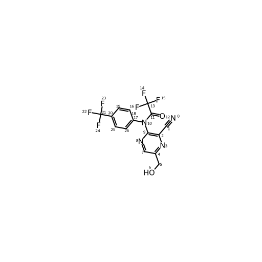 N#Cc1nc(CO)cnc1N(C(=O)C(F)(F)F)c1ccc(C(F)(F)F)cc1